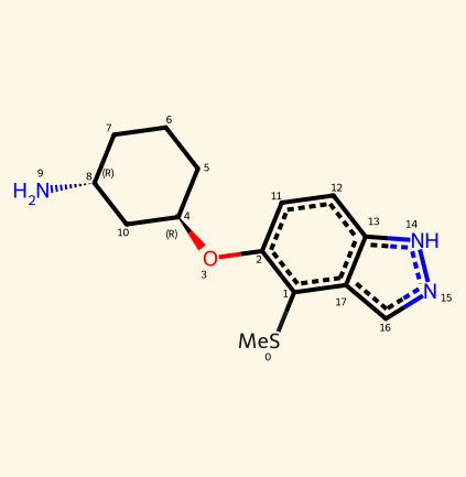 CSc1c(O[C@@H]2CCC[C@@H](N)C2)ccc2[nH]ncc12